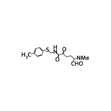 CNC(C=O)CCC(=O)C(=O)NCSc1ccc(C)cc1